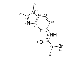 Cc1nc2cc(NC(=O)C(C)Br)ccc2n1C